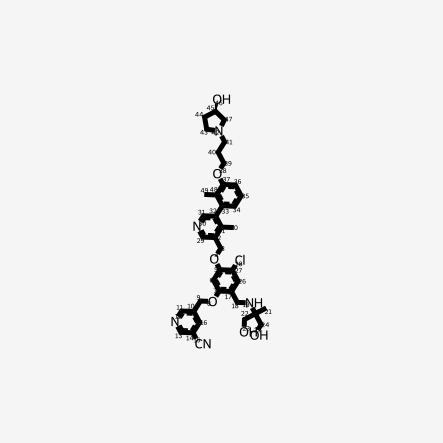 Cc1c(COc2cc(OCc3cncc(C#N)c3)c(CNC(C)(CO)CO)cc2Cl)cncc1-c1cccc(OCCCN2CC[C@@H](O)C2)c1C